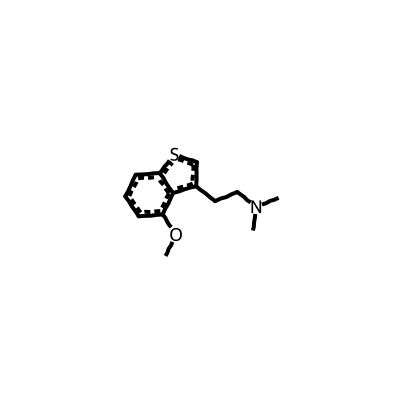 COc1cccc2scc(CCN(C)C)c12